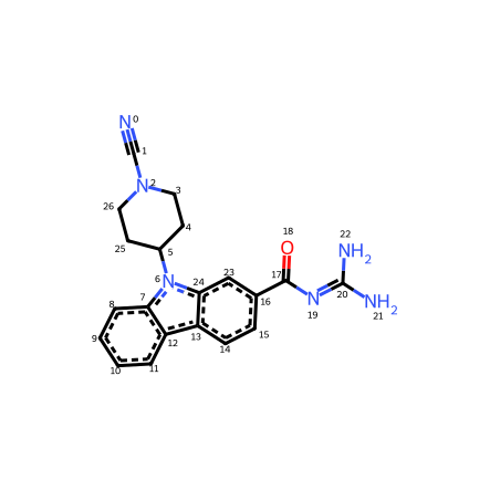 N#CN1CCC(n2c3ccccc3c3ccc(C(=O)N=C(N)N)cc32)CC1